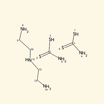 NC(=S)S.NC(=S)S.NCCNCCN